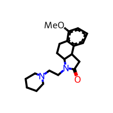 COc1cccc2c1CCC1C2CC(=O)N1CCN1CCCCC1